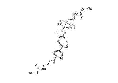 CC(C)(C)OC(=O)NCCCNc1ncc(-c2ccc3c(c2)CC[C@H]([C@@](C)(C(=O)O)C(C)(C)CONC(=O)OC(C)(C)C)O3)cn1